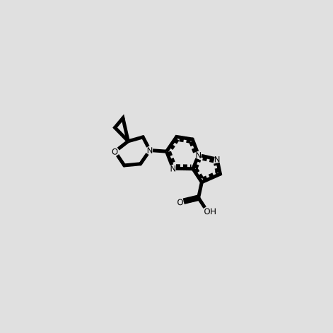 O=C(O)c1cnn2ccc(N3CCOC4(CC4)C3)nc12